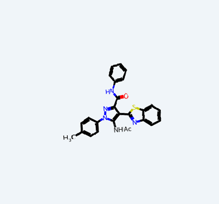 CC(=O)Nc1c(-c2nc3ccccc3s2)c(C(=O)Nc2ccccc2)nn1-c1ccc(C)cc1